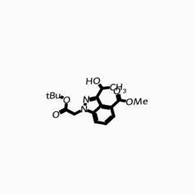 COC(=O)c1cccc2c1c(C(C)O)nn2CC(=O)OC(C)(C)C